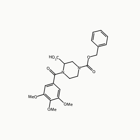 COc1cc(C(=O)N2CCN(C(=O)OCc3ccccc3)CC2C(=O)O)cc(OC)c1OC